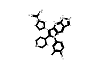 Cc1cc(-n2c(C3CCOCC3)c([C@@H]3CC[C@@H](C(=O)O)C3)c3nc4[nH]ncc4cc32)ccc1F